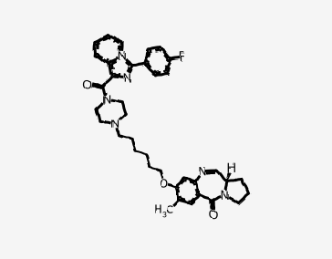 Cc1cc2c(cc1OCCCCCCN1CCN(C(=O)c3nc(-c4ccc(F)cc4)n4ccccc34)CC1)N=C[C@@H]1CCCN1C2=O